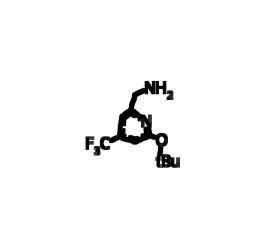 CC(C)(C)Oc1cc(C(F)(F)F)cc(CN)n1